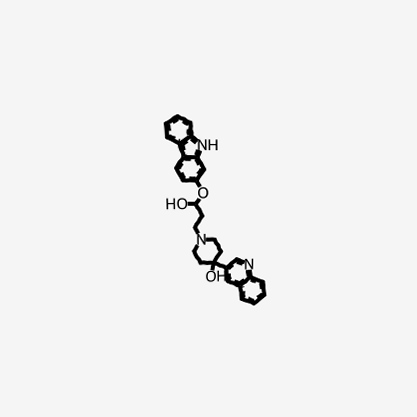 OC(CCN1CCC(O)(c2cnc3ccccc3c2)CC1)Oc1ccc2c(c1)[nH]c1ccccc12